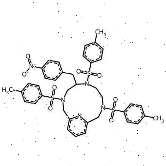 Cc1ccc(S(=O)(=O)N2CCN(S(=O)(=O)c3ccc(C)cc3)C(Cc3ccc([N+](=O)[O-])cc3)CN(S(=O)(=O)c3ccc(C)cc3)Cc3cccc(n3)C2)cc1